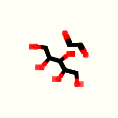 O=CC=O.OC[C@@H](O)[C@H](O)[C@@H](O)CO